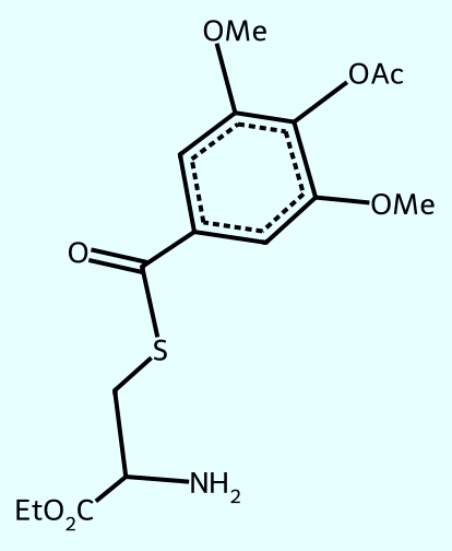 CCOC(=O)C(N)CSC(=O)c1cc(OC)c(OC(C)=O)c(OC)c1